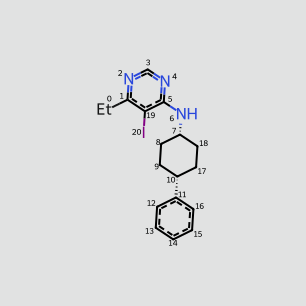 CCc1ncnc(N[C@H]2CC[C@@H](c3ccccc3)CC2)c1I